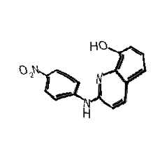 O=[N+]([O-])c1ccc(Nc2ccc3cccc(O)c3n2)cc1